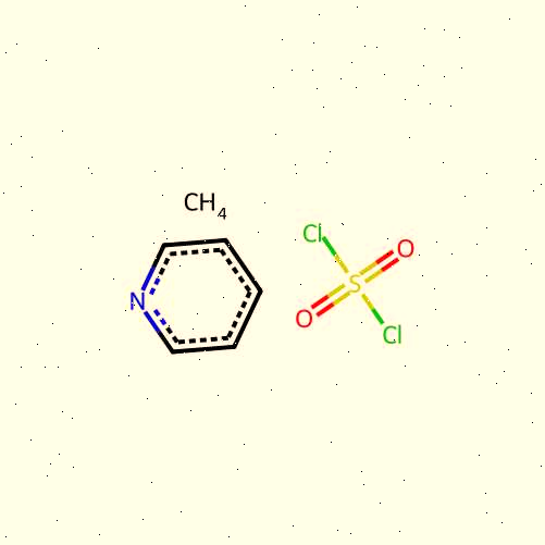 C.O=S(=O)(Cl)Cl.c1ccncc1